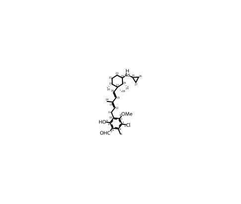 COc1c(Cl)c(C)c(C=O)c(O)c1C/C=C(C)/C=C/[C@@]1(C)[C@H](C)CCC([AsH]C2CC2)[C@@H]1C